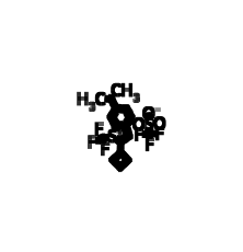 CC(C)c1ccc2cc(C3CCC3)[s+](C(F)(F)F)c2c1.O=S(=O)([O-])C(F)(F)F